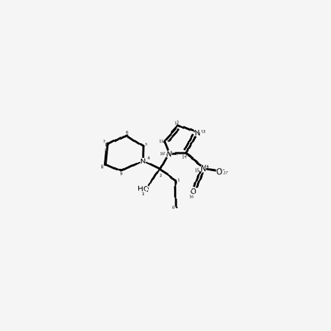 CCC(O)(N1CCCCC1)n1ccnc1[N+](=O)[O-]